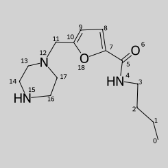 CCCCNC(=O)c1ccc(CN2CCNCC2)o1